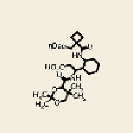 CCCCCCCCCCCC1(C(=O)NC2CCCCC2C(CC(=O)O)NC(=O)C2OC(C)(C)OCC2(C)C)CCC1